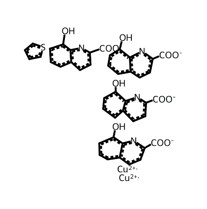 O=C([O-])c1ccc2cccc(O)c2n1.O=C([O-])c1ccc2cccc(O)c2n1.O=C([O-])c1ccc2cccc(O)c2n1.O=C([O-])c1ccc2cccc(O)c2n1.[Cu+2].[Cu+2].c1ccsc1